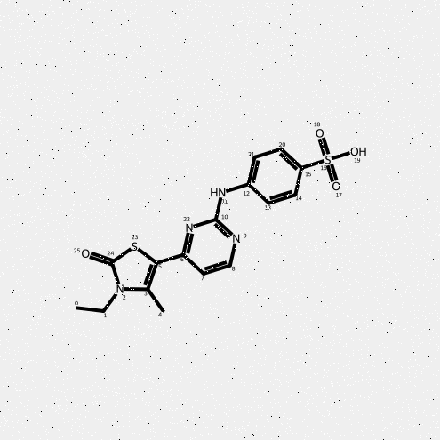 CCn1c(C)c(-c2ccnc(Nc3ccc(S(=O)(=O)O)cc3)n2)sc1=O